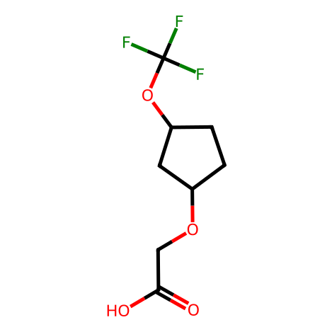 O=C(O)COC1CCC(OC(F)(F)F)C1